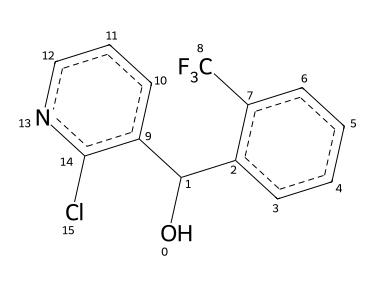 OC(c1ccccc1C(F)(F)F)c1cccnc1Cl